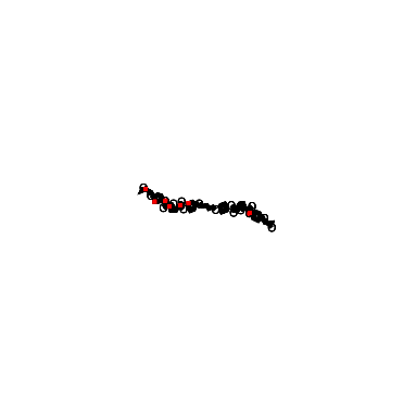 O=C(Oc1ccc(OCCCCOc2ccc(OC(=O)c3ccc(C(=O)Oc4ccc(OCC5CO5)cc4)o3)cc2)cc1)c1ccc(C(=O)Oc2ccc(OCC3CO3)cc2)o1